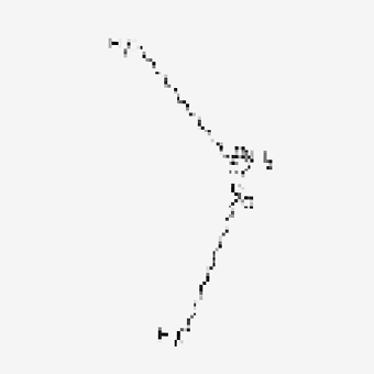 CCCCCCCC/C=C/CCCCCCCC(=O)OCC(CN)OC(=O)CCCCCCC/C=C/CCCCCCCC